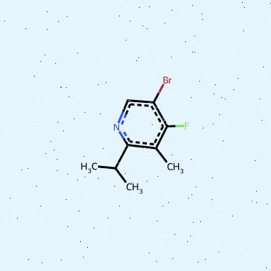 Cc1c(C(C)C)ncc(Br)c1F